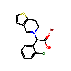 O=C(O)C(c1ccccc1Cl)[N+]1=Cc2ccsc2CC1.[Br-]